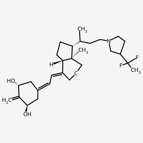 C=C1[C@H](O)CC(=CC=C2CCC[C@]3(C)[C@@H](C(C)CCN4CCC(C(C)(F)F)C4)CC[C@@H]23)C[C@H]1O